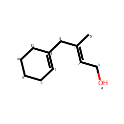 CC(=CCO)CC1=CCCCC1